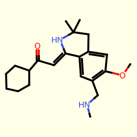 CNCc1cc2c(cc1OC)CC(C)(C)NC2=CC(=O)C1CCCCC1